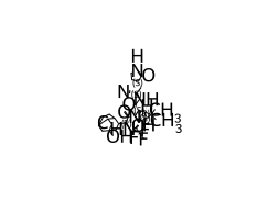 CC1(C)[C@@H]2[C@@H](C(=O)N[C@H](C#N)C[C@@H]3CCNC3=O)N(C(=O)[C@H](NC(=O)C(F)(F)F)C3CC4(O)CC5CCC3C(C5)C4)C[C@@H]21